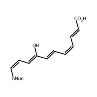 CCCCCCCCC\C=C/C=C(O)/C=C/C=C\C=C\C(=O)O